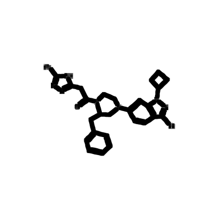 CCc1nn(C2CCC2)c2cc(N3CCN(C(=O)Cc4nnc(C(C)C)[nH]4)C(Cc4ccccc4)C3)ccc12